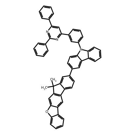 CC1(C)c2cc(-c3ccc4c(c3)c3ccccc3n4-c3cccc(-c4cc(-c5ccccc5)nc(-c5ccccc5)n4)c3)ccc2-c2cc3c(cc21)oc1ccccc13